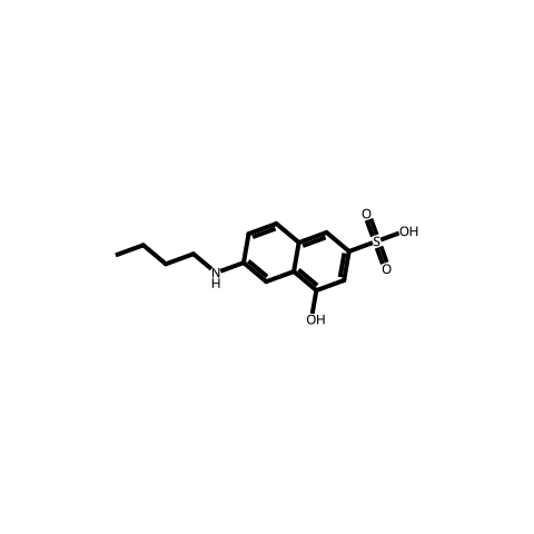 CCCCNc1ccc2cc(S(=O)(=O)O)cc(O)c2c1